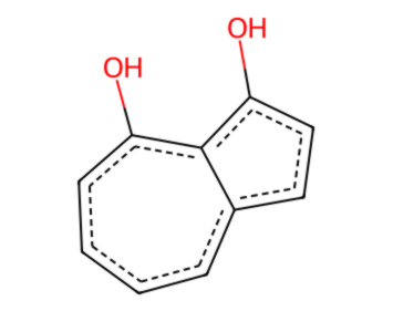 Oc1ccccc2ccc(O)c1-2